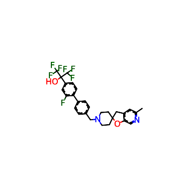 Cc1cc2c(cn1)OC1(CCN(Cc3ccc(-c4ccc(C(O)(C(F)(F)F)C(F)(F)F)cc4F)cc3)CC1)C2